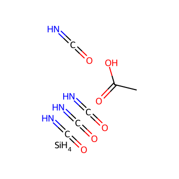 CC(=O)O.N=C=O.N=C=O.N=C=O.N=C=O.[SiH4]